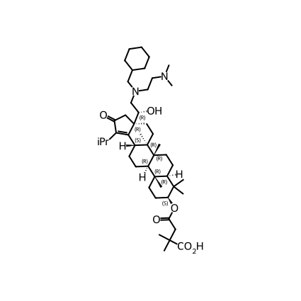 CC(C)C1=C2[C@H]3CC[C@@H]4[C@@]5(C)CC[C@H](OC(=O)CC(C)(C)C(=O)O)C(C)(C)[C@@H]5CC[C@@]4(C)[C@]3(C)CC[C@@]2([C@@H](O)CN(CCN(C)C)CC2CCCCC2)CC1=O